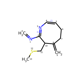 C=N/C1=N/C=C\CCC(=C)C1CSC